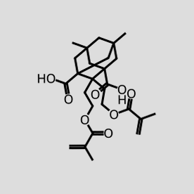 C=C(C)C(=O)OCCC1(CCOC(=O)C(=C)C)C2(C(=O)O)CC3(C)CC(C)(C2)CC1(C(=O)O)C3